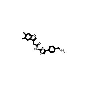 Cc1cc2occ(CC(=O)Nc3nc(-c4ccc(CN)cc4)cs3)c2cc1C